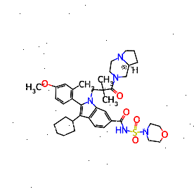 COc1ccc(-c2c(C3CCCCC3)c3ccc(C(=O)NS(=O)(=O)N4CCOCC4)cc3n2CC(C)(C)C(=O)N2CCN3CCC[C@H]3C2)c(C)c1